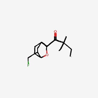 [CH2]CC(C)(C)C(=O)[C]1OC2CCC1CC2CF